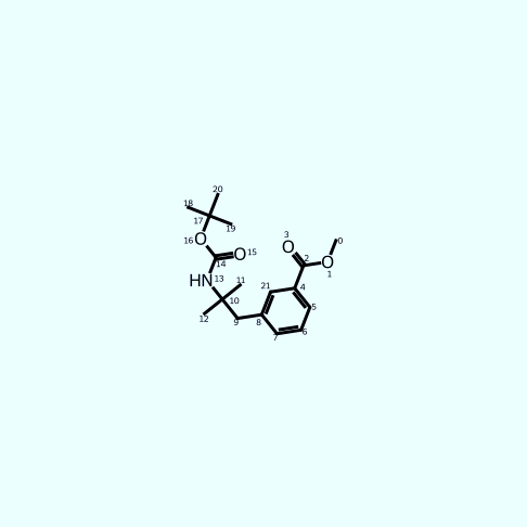 COC(=O)c1cccc(CC(C)(C)NC(=O)OC(C)(C)C)c1